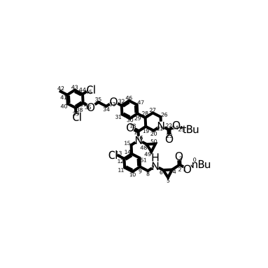 CCCCOC(=O)C1CC1NCc1ccc(Cl)c(CN(C(=O)C2CN(C(=O)OC(C)(C)C)CCC2c2ccc(OCCOc3c(Cl)cc(C)cc3Cl)cc2)C2CC2)c1